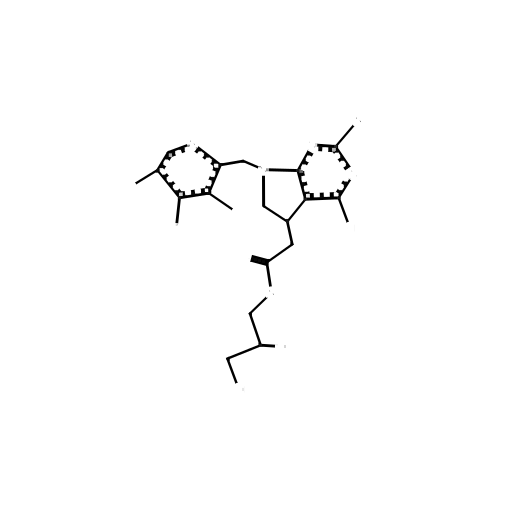 CCc1c(C)cnc(CN2CC(CC(=O)NCC(O)CO)c3c(Cl)nc(N)nc32)c1C